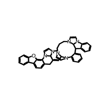 CN1C=CN2c3c(ccc4c3oc3ccccc34)C/C(=C/C3N4C=CN3c3ccccc3C3c5ccccc5N5C=CN(CCC4)C35)C12